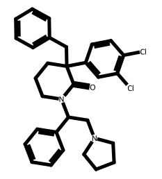 O=C1N(C(CN2CCCC2)c2ccccc2)CCCC1(Cc1ccccc1)c1ccc(Cl)c(Cl)c1